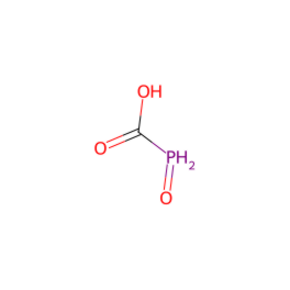 O=[PH2]C(=O)O